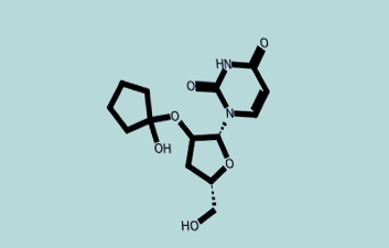 O=c1ccn([C@@H]2O[C@H](CO)CC2OC2(O)CCCC2)c(=O)[nH]1